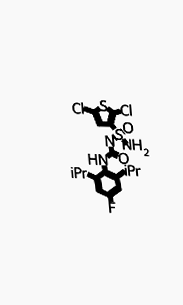 CC(C)c1cc(F)cc(C(C)C)c1NC(=O)N=S(N)(=O)c1cc(Cl)sc1Cl